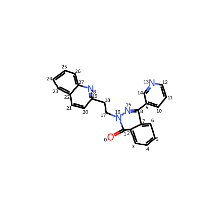 O=c1c2ccccc2c(-c2cccnc2)nn1CCc1ccc2ccccc2n1